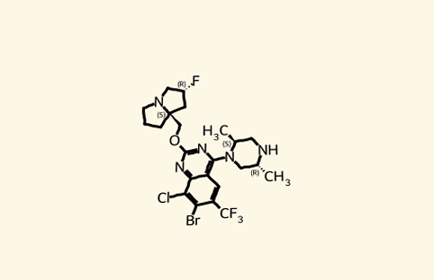 C[C@@H]1CN(c2nc(OC[C@@]34CCCN3C[C@H](F)C4)nc3c(Cl)c(Br)c(C(F)(F)F)cc23)[C@@H](C)CN1